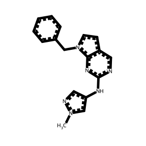 Cn1cc(Nc2ncc3ccn(Cc4ccccc4)c3n2)cn1